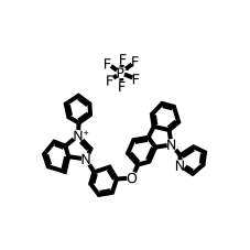 F[P-](F)(F)(F)(F)F.c1ccc(-[n+]2cn(-c3cccc(Oc4ccc5c6ccccc6n(-c6ccccn6)c5c4)c3)c3ccccc32)cc1